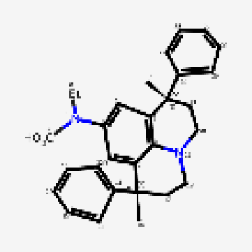 CCN(C(=O)O)c1cc2c3c(c1)[C@@](C)(c1ccccc1)CCN3CC[C@@]2(C)c1ccccc1